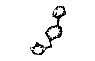 c1csc(-c2ccc(Cn3ccnc3)cc2)c1